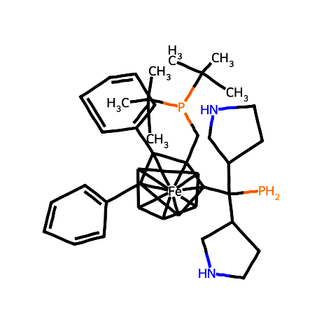 CC(C)(C)P(C[C]12[C]3(c4ccccc4)[C]4(c5ccccc5)[CH]5[C]1(C(P)(C1CCNC1)C1CCNC1)[Fe]54231678[CH]2[CH]1[CH]6[CH]7[CH]28)C(C)(C)C